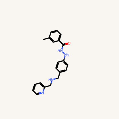 Cc1cccc(C(=O)NNc2ccc(CNCc3ccccn3)cc2)c1